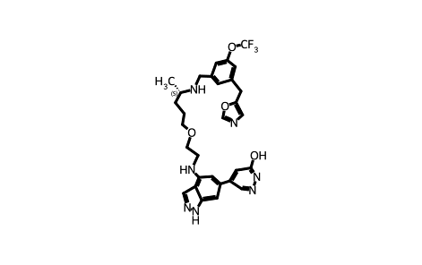 C[C@@H](CCCOCCNc1cc(-c2cnnc(O)c2)cc2[nH]ncc12)NCc1cc(Cc2cnco2)cc(OC(F)(F)F)c1